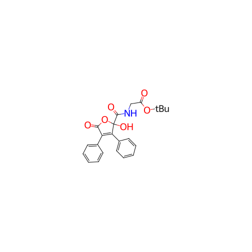 CC(C)(C)OC(=O)CNC(=O)C1(O)OC(=O)C(c2ccccc2)=C1c1ccccc1